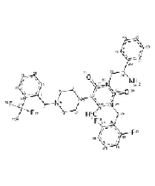 Cc1c(N2CCN(Cc3ccccc3C(F)(F)F)CC2)c(=O)n(CC(N)c2ccccc2)c(=O)n1Cc1c(F)cccc1F